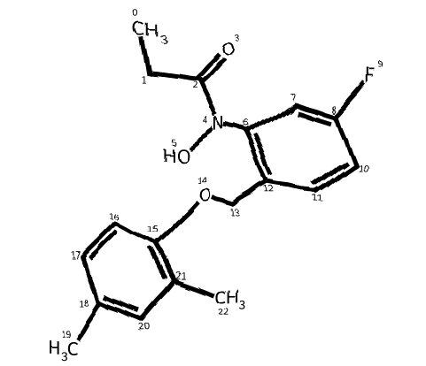 CCC(=O)N(O)c1cc(F)ccc1COc1ccc(C)cc1C